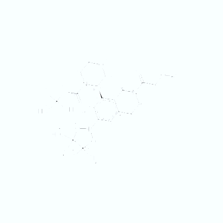 COCC(=O)N1CCc2cc(B3OC(C)(C)C(C)(C)O3)cc([C@@H]3COCCN3C(=O)OC(C)(C)C)c2C1